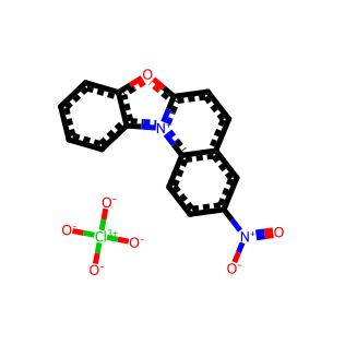 O=[N+]([O-])c1ccc2c(ccc3oc4ccccc4[n+]32)c1.[O-][Cl+3]([O-])([O-])[O-]